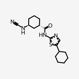 N#CN[C@H]1CCC[C@H](C(=O)Nc2ncc(C3CCCCC3)s2)C1